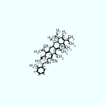 C=CC/C(=C1/CC2C[C@@]3(C)C(N(C)C)C(C)=C(C(=C)C)C(=C)[C@@]3(C)C(C)=C2C(=C)/C1=C(\C#N)C(C)NCc1ccccc1C)N(C)C